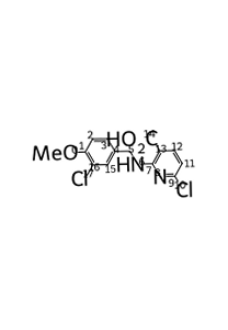 COc1ccc(CNc2nc(Cl)ccc2C(=O)O)cc1Cl